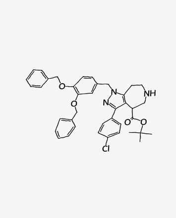 CC(C)(C)OC(=O)C1CNCCc2c1c(-c1ccc(Cl)cc1)nn2Cc1ccc(OCc2ccccc2)c(OCc2ccccc2)c1